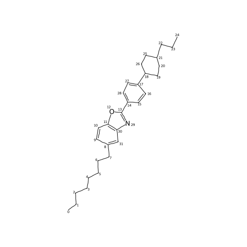 CCCCCCCCc1ccc2oc(-c3ccc(C4CCC(CCC)CC4)cc3)nc2c1